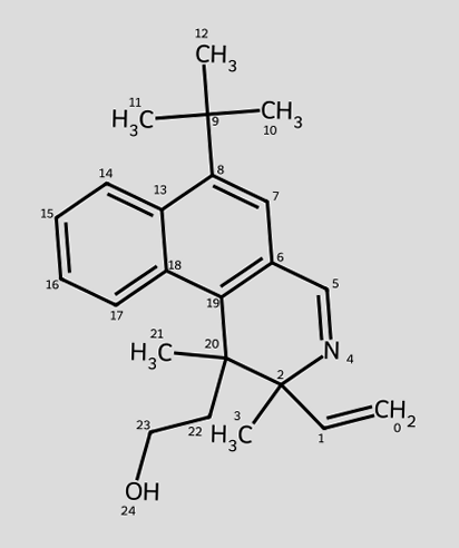 C=CC1(C)N=Cc2cc(C(C)(C)C)c3ccccc3c2C1(C)CCO